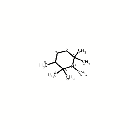 CC1[CH]CC(C)(C)N(C)C1(C)C